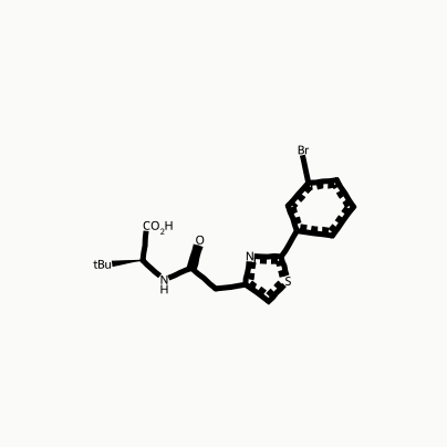 CC(C)(C)[C@H](NC(=O)Cc1csc(-c2cccc(Br)c2)n1)C(=O)O